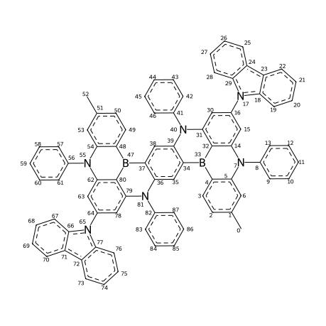 Cc1ccc2c(c1)N(c1ccccc1)c1cc(-n3c4ccccc4c4ccccc43)cc3c1B2c1cc2c(cc1N3c1ccccc1)B1c3ccc(C)cc3N(c3ccccc3)c3cc(-n4c5ccccc5c5ccccc54)cc(c31)N2c1ccccc1